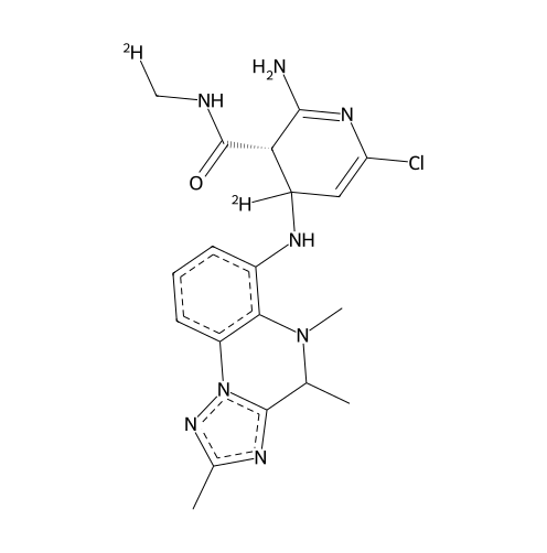 [2H]CNC(=O)[C@@H]1C(N)=NC(Cl)=CC1([2H])Nc1cccc2c1N(C)C(C)c1nc(C)nn1-2